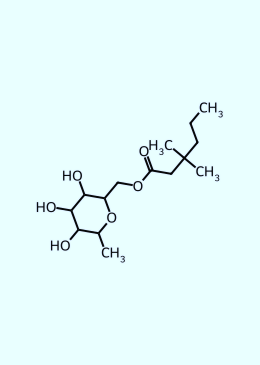 CCCC(C)(C)CC(=O)OCC1OC(C)C(O)C(O)C1O